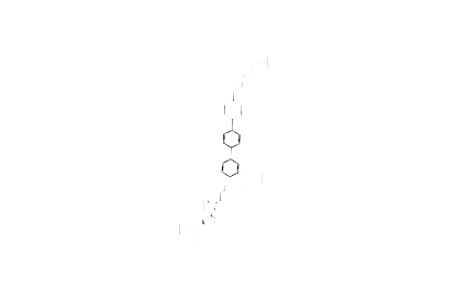 C=CC(=O)NCCOc1ccc(-c2ccc(C3CCC(CCCCC)CC3)cc2)cc1C